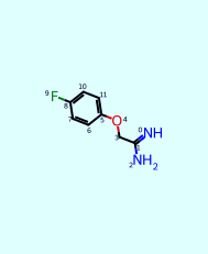 N=C(N)COc1ccc(F)cc1